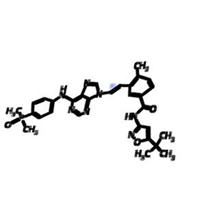 Cc1ccc(C(=O)Nc2cc(C(C)(C)C)on2)cc1/C=C/n1cnc2c(Nc3ccc(P(C)(C)=O)cc3)ncnc21